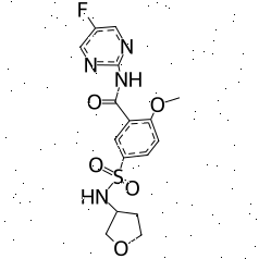 COc1ccc(S(=O)(=O)NC2CCOC2)cc1C(=O)Nc1ncc(F)cn1